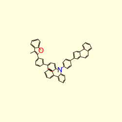 Cc1c(-c2cccc(-c3ccc(N(c4ccc(-c5ccc6c(ccc7ccccc76)c5)cc4)c4ccccc4-c4ccccc4)cc3)c2)oc2ccccc12